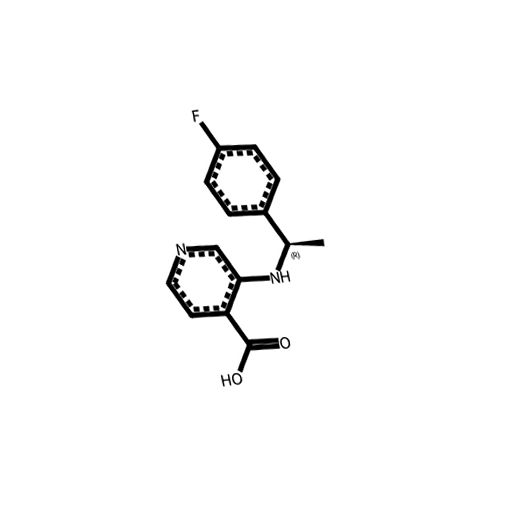 C[C@@H](Nc1cnccc1C(=O)O)c1ccc(F)cc1